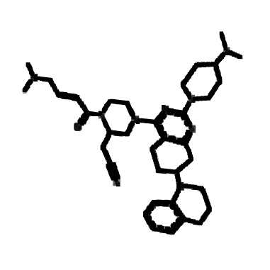 CN(C)CC=CC(=O)N1CCN(c2nc(N3CCC(N(C)C)CC3)nc3c2CCC(N2CCCc4ccccc42)C3)CC1CC#N